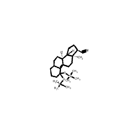 C[C@]12CCC3=C4C(CCCC4(O[Si](C)(C)C)O[Si](C)(C)C)CC[C@H]3[C@@H]1CC[C@H]2C#N